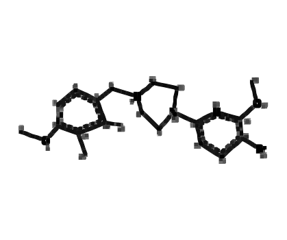 COc1ccc(CN2CCN(c3ccc(Br)c(OC)n3)CC2)c(C)c1C